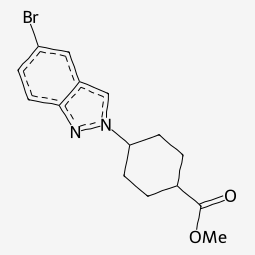 COC(=O)C1CCC(n2cc3cc(Br)ccc3n2)CC1